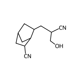 N#CC(CO)CC1CC2CC(C#N)C1C2